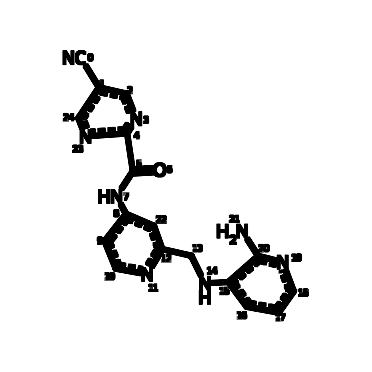 N#Cc1cnc(C(=O)Nc2ccnc(CNc3cccnc3N)c2)nc1